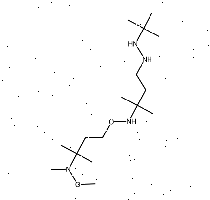 CON(C)C(C)(C)CCONC(C)(C)CCNNC(C)(C)C